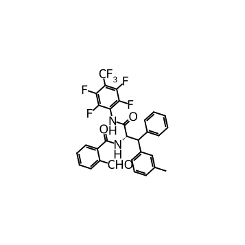 Cc1cccc(C(c2ccccc2)[C@H](NC(=O)c2ccccc2C=O)C(=O)Nc2c(F)c(F)c(C(F)(F)F)c(F)c2F)c1